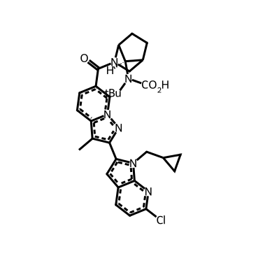 Cc1c(-c2cc3ccc(Cl)nc3n2CC2CC2)nn2cc(C(=O)N3CC4CCC3[C@@H]4N(C(=O)O)C(C)(C)C)ccc12